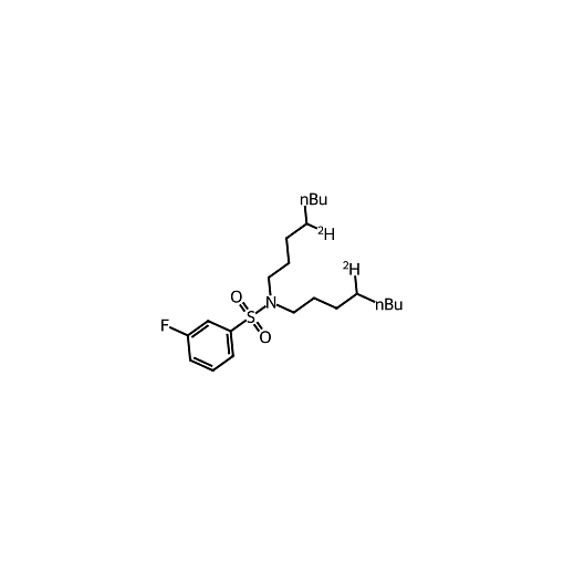 [2H]C(CCCC)CCCN(CCCC([2H])CCCC)S(=O)(=O)c1cccc(F)c1